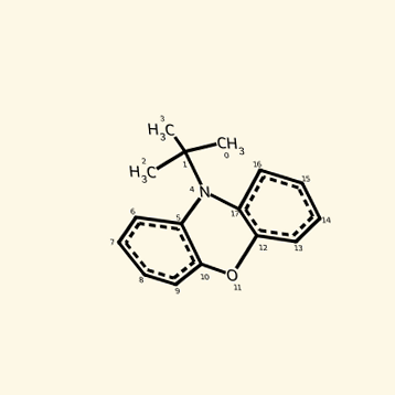 CC(C)(C)N1c2ccccc2Oc2ccccc21